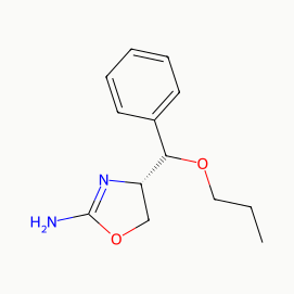 CCCOC(c1ccccc1)[C@@H]1COC(N)=N1